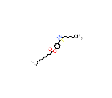 CCCCC/C=C/C(=O)Oc1ccc(-c2nnc(CCCCC)s2)cc1